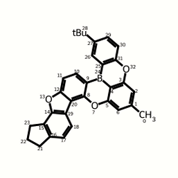 Cc1cc2c3c(c1)Oc1c(ccc4oc5c6c(ccc5c14)CCC6)B3c1cc(C(C)(C)C)ccc1O2